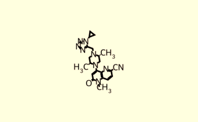 C[C@@H]1CN(c2cc(=O)n(C)c3ccc(C#N)nc23)[C@@H](C)CN1Cc1nnnn1C1CC1